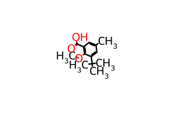 COc1c(C(=O)O)cc(C)cc1C(C)(C)C